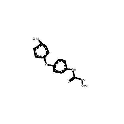 CONC(=O)Nc1ccc(Oc2ccc([N+](=O)[O-])cc2)cc1